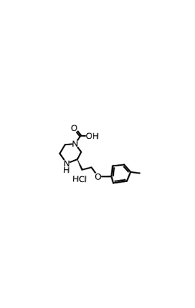 Cc1ccc(OCC[C@@H]2CN(C(=O)O)CCN2)cc1.Cl